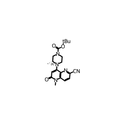 C[C@@H]1CN(C(=O)OC(C)(C)C)CCN1c1cc(=O)n(C)c2ccc(C#N)nc12